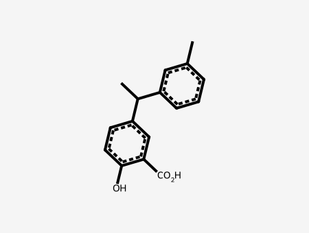 Cc1cccc(C(C)c2ccc(O)c(C(=O)O)c2)c1